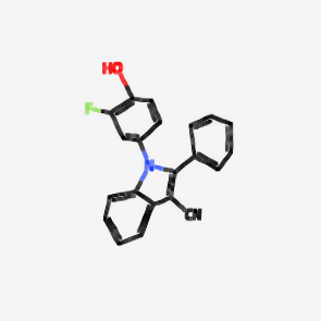 N#Cc1c(-c2ccccc2)n(-c2ccc(O)c(F)c2)c2ccccc12